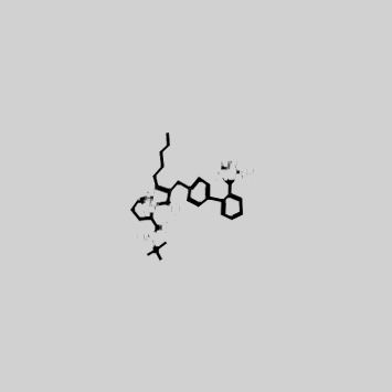 CCCCCc1c(Cc2ccc(-c3ccccc3-c3nnn[nH]3)cc2)c(=O)n2n1C1CCC2(C(=O)NC(C)(C)C)CC1